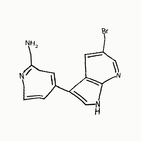 Nc1cc(-c2c[nH]c3ncc(Br)cc23)ccn1